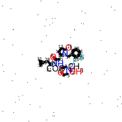 C[N+]1(O)CCOCC1.O=C(C[C@@H]1CCC(=O)N1Cc1cccc(F)c1F)N[C@@H](CC1CC1)C(=O)[O-]